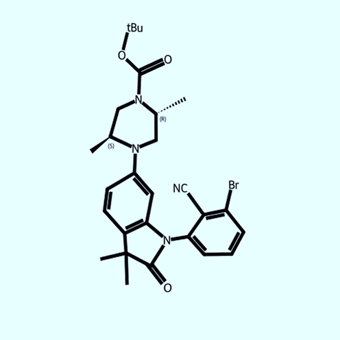 C[C@@H]1CN(c2ccc3c(c2)N(c2cccc(Br)c2C#N)C(=O)C3(C)C)[C@@H](C)CN1C(=O)OC(C)(C)C